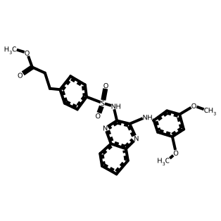 COC(=O)CCc1ccc(S(=O)(=O)Nc2nc3ccccc3nc2Nc2cc(OC)cc(OC)c2)cc1